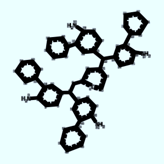 Nc1ccc(C(Cc2cccc(C(c3ccc(N)c(-c4ccccc4)c3)c3ccc(N)c(-c4ccccc4)c3)c2)c2ccc(N)c(-c3ccccc3)c2)cc1-c1ccccc1